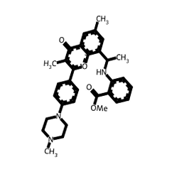 COC(=O)c1ccccc1NC(C)c1cc(C)cc2c(=O)c(C)c(-c3ccc(N4CCN(C)CC4)cc3)oc12